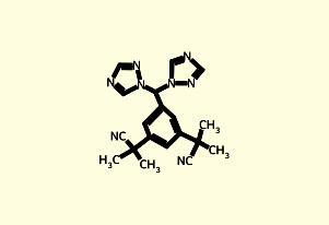 CC(C)(C#N)c1cc(C(n2cncn2)n2cncn2)cc(C(C)(C)C#N)c1